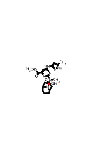 COC(=O)c1cc(Nc2cc(C)[nH]n2)nc(N(C)C2CC3CCCC(C2)N3C(=O)O)n1